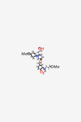 COCCCN1CCOc2ccc(CO[C@@H]3CC[C@@H](CCO)N(c4ccc(OC)cc4)C3)cc21